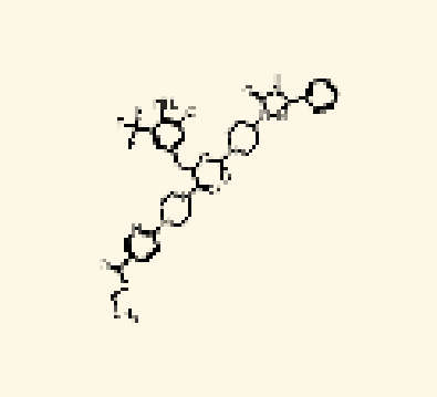 CCOC(=O)c1ccc(N2CCN(C(=O)[C@@H](Cc3cc(Cl)c(N)c(C(F)(F)F)c3)OC(=O)N3CCC(n4nc(-c5ccccc5)[nH]c4=O)CC3)CC2)nc1